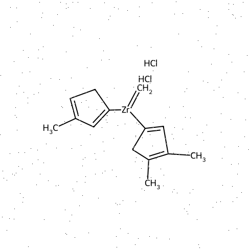 Cl.Cl.[CH2]=[Zr]([C]1=CC(C)=CC1)[C]1=CC(C)=C(C)C1